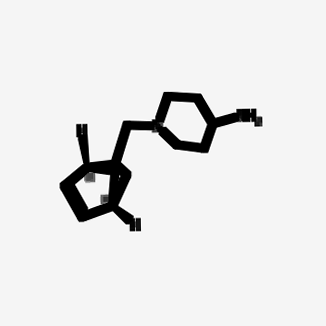 NC1CCN(CC2C[C@@H]3C=C[C@H]2C3)CC1